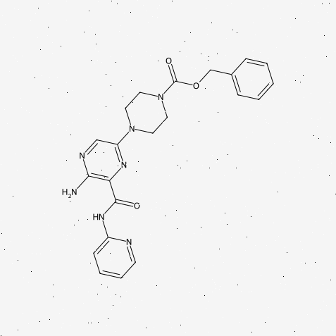 Nc1ncc(N2CCN(C(=O)OCc3ccccc3)CC2)nc1C(=O)Nc1ccccn1